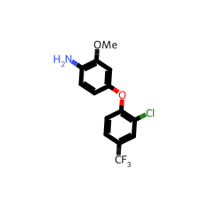 COc1cc(Oc2ccc(C(F)(F)F)cc2Cl)ccc1N